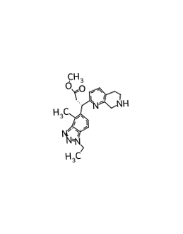 CCn1nnc2c(C)c([C@H](CC(=O)OC)c3ccc4c(n3)CNCC4)ccc21